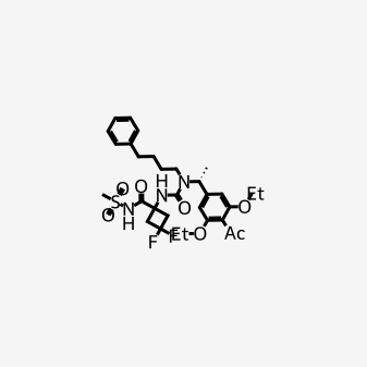 CCOc1cc([C@@H](C)N(CCCCc2ccccc2)C(=O)NC2(C(=O)NS(C)(=O)=O)CC(F)(F)C2)cc(OCC)c1C(C)=O